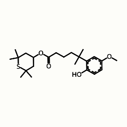 COc1ccc(O)c(C(C)(C)CCCC(=O)OC2CC(C)(C)SC(C)(C)C2)c1